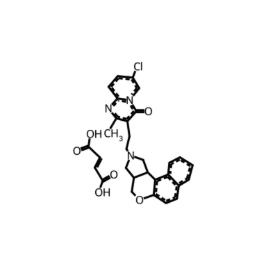 Cc1nc2ccc(Cl)cn2c(=O)c1CCN1CC2COc3ccc4ccccc4c3C2C1.O=C(O)/C=C/C(=O)O